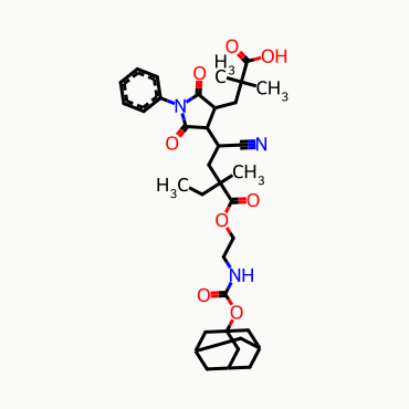 CCC(C)(CC(C#N)C1C(=O)N(c2ccccc2)C(=O)C1CC(C)(C)C(=O)O)C(=O)OCCNC(=O)OC12CC3CC(CC(C3)C1)C2